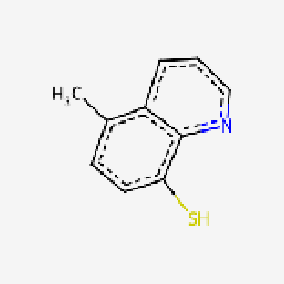 Cc1ccc(S)c2ncccc12